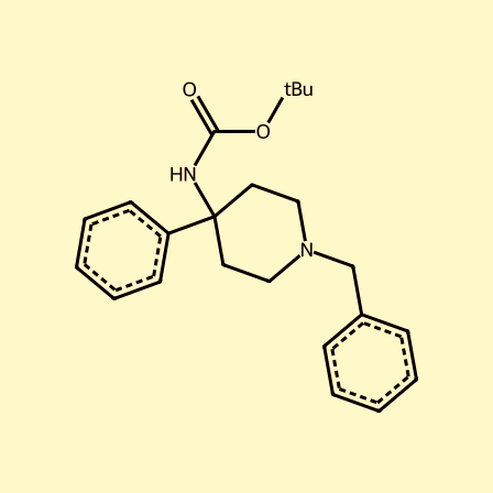 CC(C)(C)OC(=O)NC1(c2ccccc2)CCN(Cc2ccccc2)CC1